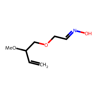 C=CC(COCC=NO)OC